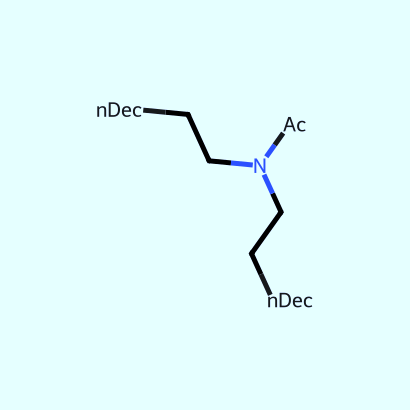 CCCCCCCCCCCCN(CCCCCCCCCCCC)C(C)=O